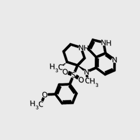 COc1cccc(S(=O)(=O)[C@@]2(N(C)c3ccnc4[nH]ccc34)CNCC[C@H]2C)c1